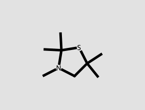 CN1CC(C)(C)SC1(C)C